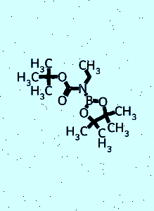 CCN(B1OC(C)(C)C(C)(C)O1)C(=O)OC(C)(C)C